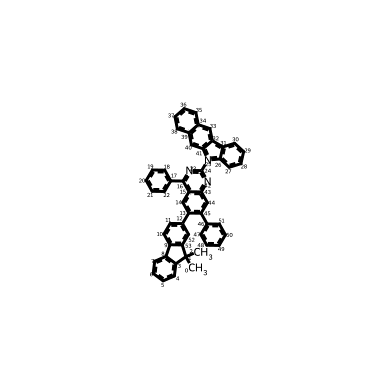 CC1(C)c2ccccc2-c2ccc(-c3cc4c(-c5ccccc5)nc(-n5c6ccccc6c6cc7ccccc7cc65)nc4cc3-c3ccccc3)cc21